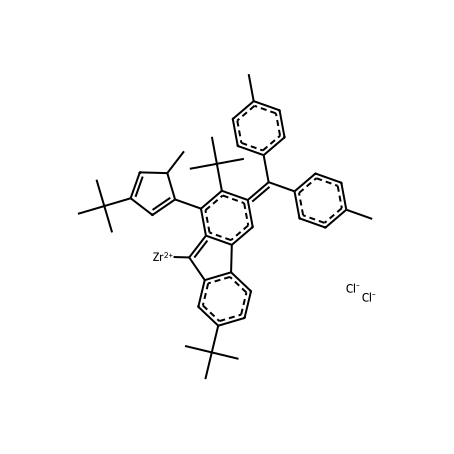 Cc1ccc(C(c2ccc(C)cc2)=c2cc3c(c(C4=CC(C(C)(C)C)=CC4C)c2C(C)(C)C)=[C]([Zr+2])c2cc(C(C)(C)C)ccc2-3)cc1.[Cl-].[Cl-]